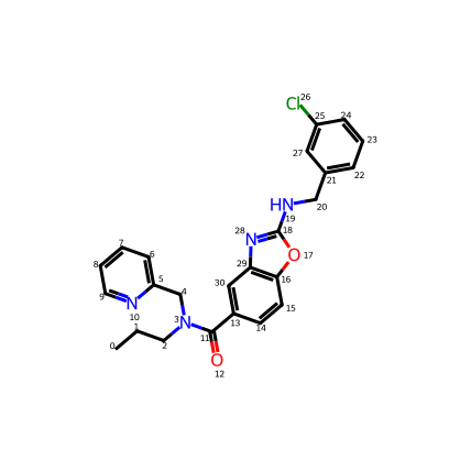 CCCN(Cc1ccccn1)C(=O)c1ccc2oc(NCc3cccc(Cl)c3)nc2c1